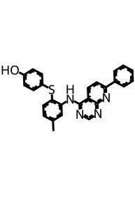 Cc1ccc(Sc2ccc(O)cc2)c(Nc2ncnc3nc(-c4ccccc4)ccc23)c1